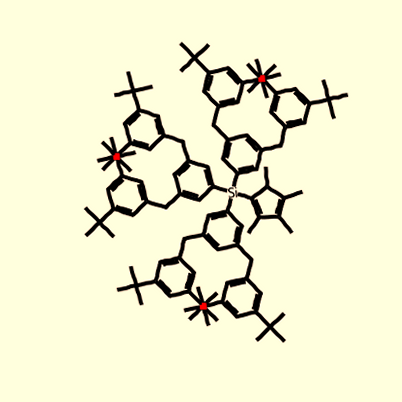 CC1=C(C)C(C)C([Si](c2cc(Cc3cc(C(C)(C)C)cc(C(C)(C)C)c3)cc(Cc3cc(C(C)(C)C)cc(C(C)(C)C)c3)c2)(c2cc(Cc3cc(C(C)(C)C)cc(C(C)(C)C)c3)cc(Cc3cc(C(C)(C)C)cc(C(C)(C)C)c3)c2)c2cc(Cc3cc(C(C)(C)C)cc(C(C)(C)C)c3)cc(Cc3cc(C(C)(C)C)cc(C(C)(C)C)c3)c2)=C1C